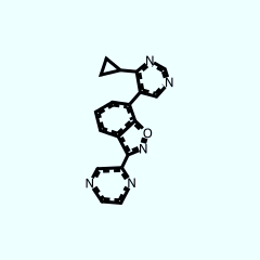 c1cc(-c2cncnc2C2CC2)c2onc(-c3cnccn3)c2c1